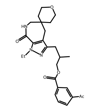 CCn1nc(CC(C)COC(=O)c2cccc(C(C)=O)c2)c2c1C(=O)NCC1(CCOCC1)C2